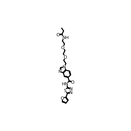 CCC(=O)NCCOCCOCCn1cnc2cc(C(=O)Nc3nnc(-c4ccco4)s3)ccc21